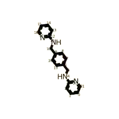 c1ccc(NCc2ccc(CNc3ccccn3)cc2)nc1